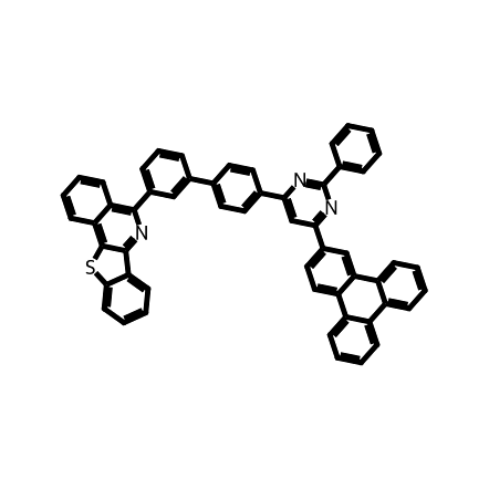 c1ccc(-c2nc(-c3ccc(-c4cccc(-c5nc6c7ccccc7sc6c6ccccc56)c4)cc3)cc(-c3ccc4c5ccccc5c5ccccc5c4c3)n2)cc1